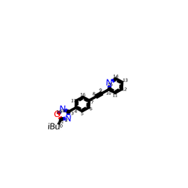 CCC(C)c1nc(-c2ccc(C#Cc3ccccn3)cc2)no1